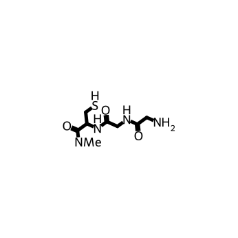 CNC(=O)C(CS)NC(=O)CNC(=O)CN